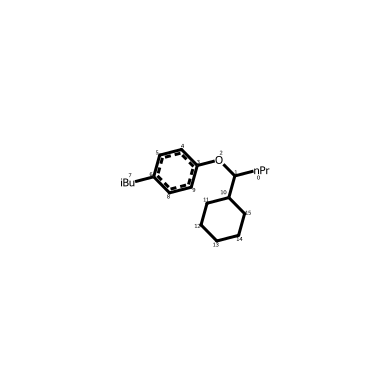 CCCC(Oc1ccc(C(C)CC)cc1)C1CCCCC1